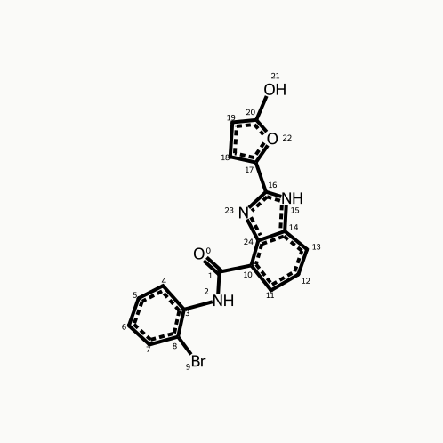 O=C(Nc1ccccc1Br)c1cccc2[nH]c(-c3ccc(O)o3)nc12